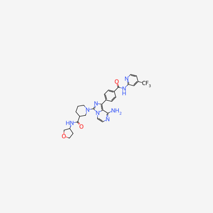 Nc1nccn2c(N3CCCC(C(=O)N[C@H]4CCOC4)C3)nc(-c3ccc(C(=O)Nc4cc(C(F)(F)F)ccn4)cc3)c12